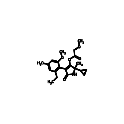 CCc1cc(C)cc(OC)c1C1=C(OC(=O)COC)C(C)(C2CC2)NC1=O